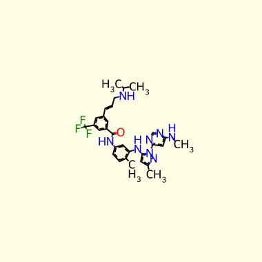 CNc1cc(-n2nc(C)cc2Nc2cc(NC(=O)c3cc(C=CCNC(C)C)cc(C(F)(F)F)c3)ccc2C)ncn1